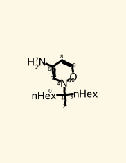 CCCCCCC(C)(CCCCCC)N1C=C(N)C=CO1